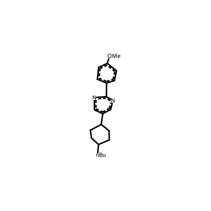 CCCCC1CCC(c2cnc(-c3ccc(OC)cc3)nc2)CC1